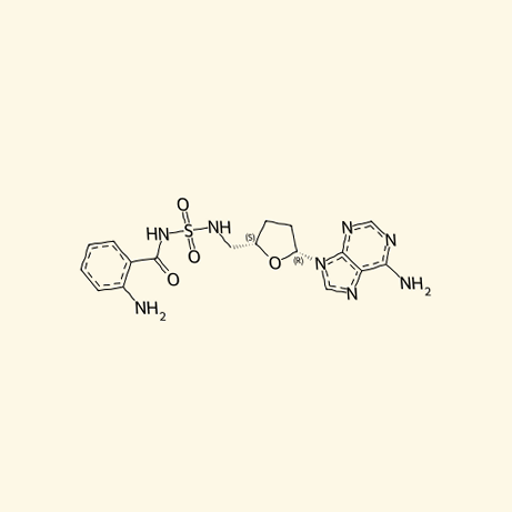 Nc1ccccc1C(=O)NS(=O)(=O)NC[C@@H]1CC[C@H](n2cnc3c(N)ncnc32)O1